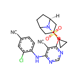 N#Cc1ccc(Nc2ncnc(O[C@H]3CC4CC[C@@H](C3)N4S(=O)(=O)C3CC3)c2C#N)c(Cl)c1